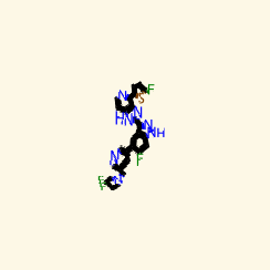 Fc1ccc(-c2nccc3[nH]c(-c4n[nH]c5cc(F)c(-c6cncc(CN7CCC(F)(F)C7)c6)cc45)nc23)s1